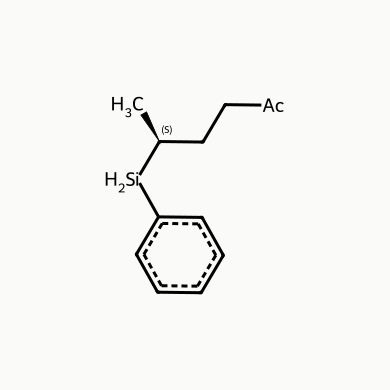 CC(=O)CC[C@H](C)[SiH2]c1ccccc1